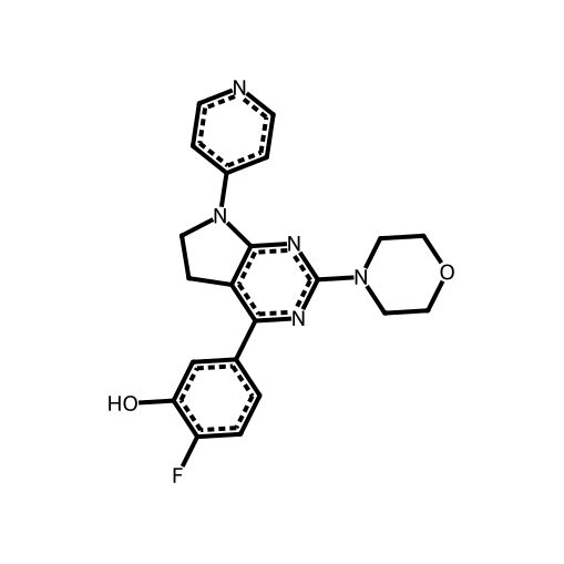 Oc1cc(-c2nc(N3CCOCC3)nc3c2CCN3c2ccncc2)ccc1F